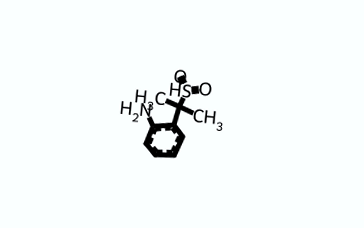 CC(C)(c1ccccc1N)[SH](=O)=O